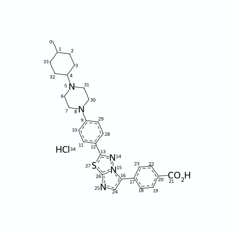 CC1CCC(N2CCN(c3ccc(-c4nn5c(-c6ccc(C(=O)O)cc6)cnc5s4)cc3)CC2)CC1.Cl